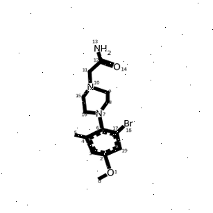 COc1cc(C)c(N2CCN(CC(N)=O)CC2)c(Br)c1